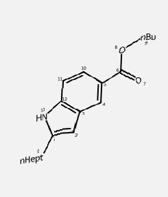 CCCCCCCc1cc2cc(C(=O)OCCCC)ccc2[nH]1